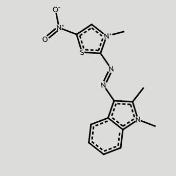 Cc1c(/N=N/c2sc([N+](=O)[O-])c[n+]2C)c2ccccc2n1C